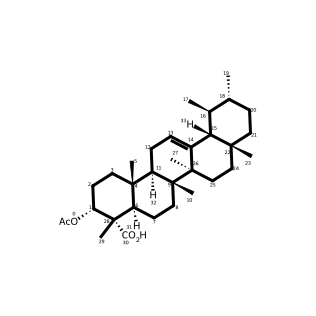 CC(=O)O[C@@H]1CC[C@@]2(C)[C@@H](CC[C@]3(C)[C@@H]2CC=C2[C@@H]4[C@@H](C)[C@H](C)CC[C@]4(C)CC[C@]23C)[C@]1(C)C(=O)O